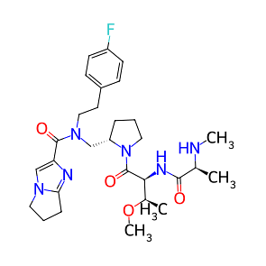 CN[C@@H](C)C(=O)N[C@H](C(=O)N1CCC[C@H]1CN(CCc1ccc(F)cc1)C(=O)c1cn2c(n1)CCC2)[C@@H](C)OC